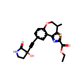 CCOC(=O)c1nc2c(s1)C(C)COc1ccc(C#C[C@]3(O)CCNC3=O)cc1-2